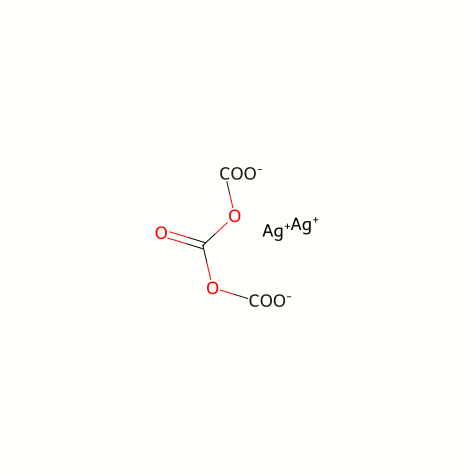 O=C([O-])OC(=O)OC(=O)[O-].[Ag+].[Ag+]